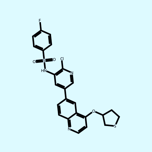 O=S(=O)(Nc1cc(-c2ccc3nccc(OC4CCSC4)c3c2)cnc1Cl)c1ccc(F)cc1